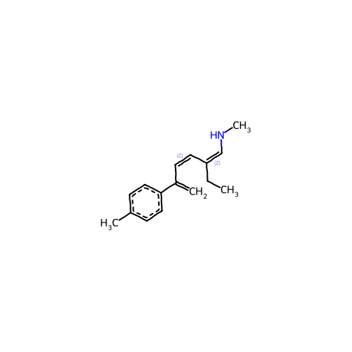 C=C(/C=C\C(=C/NC)CC)c1ccc(C)cc1